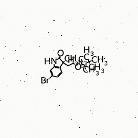 CC1(CCO[Si](C)(C)C(C)(C)C)C(=O)Nc2cc(Br)ccc21